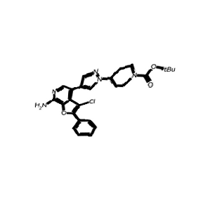 CC(C)(C)OC(=O)N1CCC(n2cc(-c3cnc(N)c4oc(-c5ccccc5)c(Cl)c34)cn2)CC1